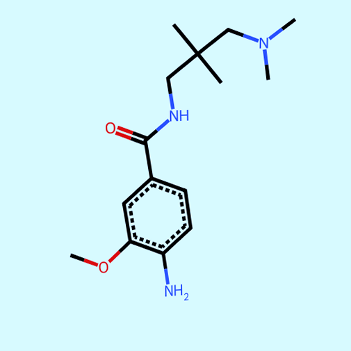 COc1cc(C(=O)NCC(C)(C)CN(C)C)ccc1N